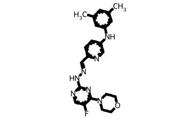 Cc1cc(C)cc(Nc2ccc(/C=N/Nc3ncc(F)c(N4CCOCC4)n3)nc2)c1